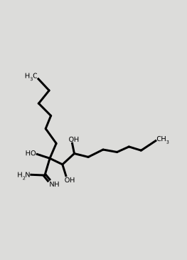 CCCCCCC(O)C(O)C(O)(CCCCCC)C(=N)N